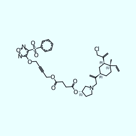 C=C[C@]1(C)CC[C@@H](C(=C)CN2CC[C@H](OC(=O)CCC(=O)OCC#CCOc3nonc3S(=O)(=O)c3ccccc3)C2)C[C@H]1C(=C)CCl